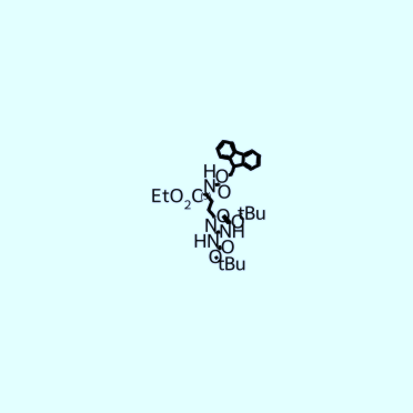 CCOC(=O)[C@H](CCCN=C(NC(=O)OC(C)(C)C)NC(=O)OC(C)(C)C)NC(=O)OCC1c2ccccc2-c2ccccc21